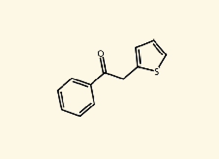 O=C(Cc1cccs1)c1ccccc1